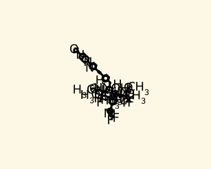 COC(=O)NC(C(=O)N[C@@H](Cc1ccc(C#Cc2ccc(N3CC4CC(C3)CN(C3COC3)C4)nc2)cc1)[C@@H](O)CN(NC(=O)[C@@H](NC(=O)OC)C(C)(C)C(F)(F)F)c1c(F)cc(-c2cnn(C(F)F)c2)cc1F)C(C)(C)C(F)(F)F